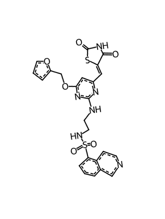 O=C1NC(=O)/C(=C/c2cc(OCc3ccco3)nc(NCCNS(=O)(=O)c3cccc4cnccc34)n2)S1